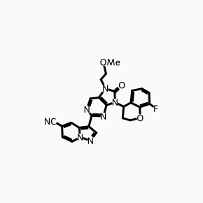 COCCn1c(=O)n(C2CCOc3c(F)cccc32)c2nc(-c3cnn4ccc(C#N)cc34)ncc21